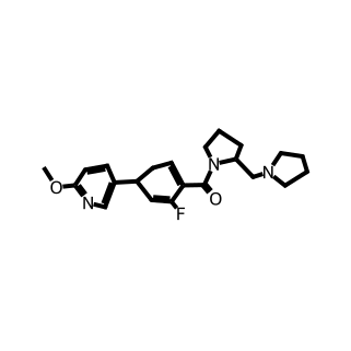 COc1ccc(C2C=C(F)C(C(=O)N3CCCC3CN3CCCC3)=CC2)cn1